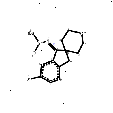 CC(C)(C)[S+]([O-])/N=C1\c2cc(Br)ccc2CC12CCOCC2